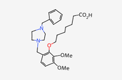 COc1ccc(CN2CCN(Cc3ccccc3)CC2)c(OCCCCCCC(=O)O)c1OC